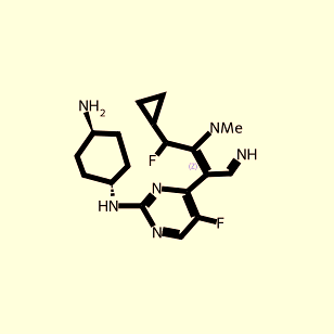 CN/C(=C(\C=N)c1nc(N[C@H]2CC[C@H](N)CC2)ncc1F)C(F)C1CC1